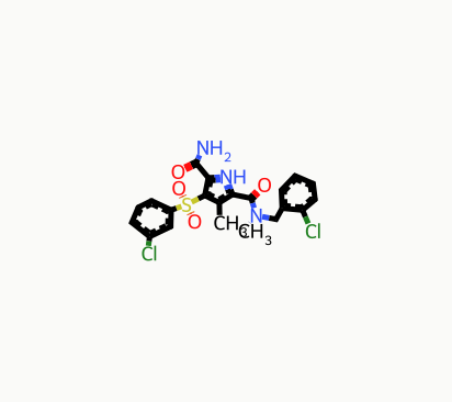 Cc1c(C(=O)N(C)Cc2ccccc2Cl)[nH]c(C(N)=O)c1S(=O)(=O)c1cccc(Cl)c1